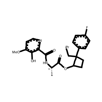 COc1ccnc(C(=O)N[C@@H](C)C(=O)OC2CCC2(CC(C)C)c2ccc(F)cc2)c1O